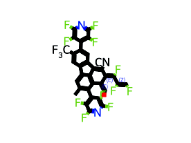 Cc1cc2c3c(c(C#N)c(=C(F)/C(F)=C/F)/c(=C/F)c3c1-c1c(F)c(F)nc(F)c1F)-c1cc(-c3c(F)c(F)nc(F)c3F)c(C(F)(F)F)cc1-2